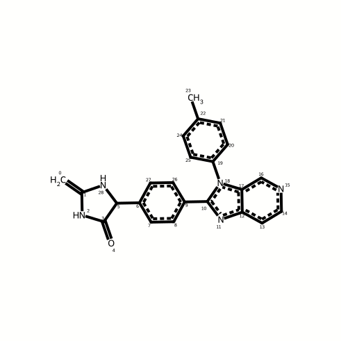 C=C1NC(=O)C(c2ccc(-c3nc4ccncc4n3-c3ccc(C)cc3)cc2)N1